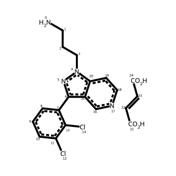 NCCCn1nc(-c2cccc(Cl)c2Cl)c2cnccc21.O=C(O)C=CC(=O)O